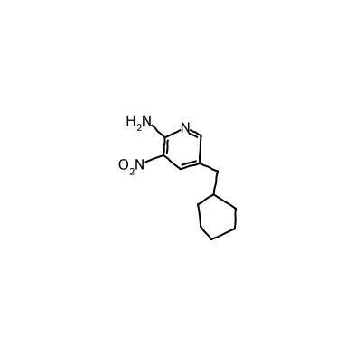 Nc1ncc(CC2CCCCC2)cc1[N+](=O)[O-]